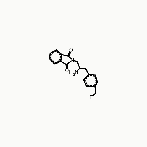 N[C@H](Cc1ccc(CF)cc1)CN1C(=O)c2ccccc2C1=O